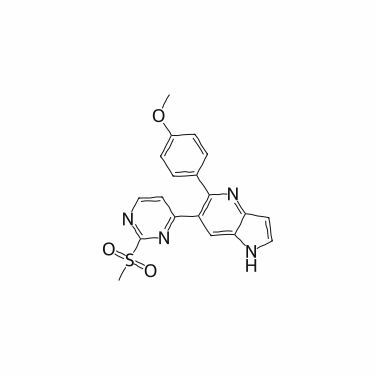 COc1ccc(-c2nc3cc[nH]c3cc2-c2ccnc(S(C)(=O)=O)n2)cc1